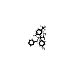 O=C(O)C(OCc1ccccc1)(c1ccc(Cl)cc1)c1cc(C(F)(F)F)ccc1Cl